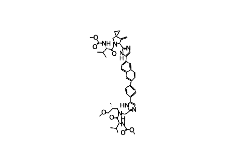 C=C1[C@@H](c2ncc(-c3ccc4cc(-c5ccc(-c6cnc(CN(C[C@@H](C)COC)C(=O)[C@@H](NC(=O)OC)C(C)C)[nH]6)cc5)ccc4c3)[nH]2)N(C(=O)[C@@H](NC(=O)OC)C(C)C)CC12CC2